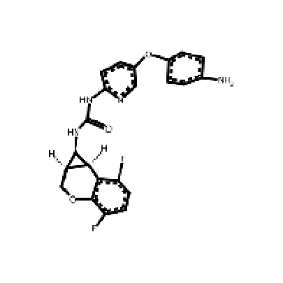 Nc1ccc(Oc2ccc(NC(=O)N[C@@H]3[C@@H]4COc5c(F)ccc(F)c5[C@@H]43)nc2)cc1